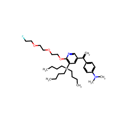 C=C(c1ccc(N(C)C)cc1)c1cnc(OCCOCCOCCF)[c]([Sn]([CH2]CCC)([CH2]CCC)[CH2]CCC)c1